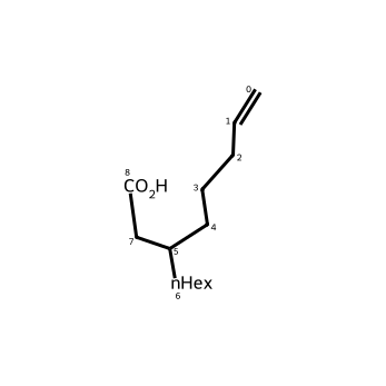 C=CCCCC(CCCCCC)CC(=O)O